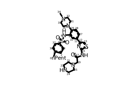 CCCCCc1ccc(S(=O)(=O)Nc2cc(-c3csc(NC(=O)CN4CCNCC4)n3)ccc2N2CCN(C)CC2)cc1